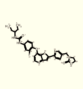 CCC(CC)NC(=O)Nc1ccc(Oc2ccnc3cc(-c4ccc(CN5CCOC5=O)cn4)sc23)c(F)c1